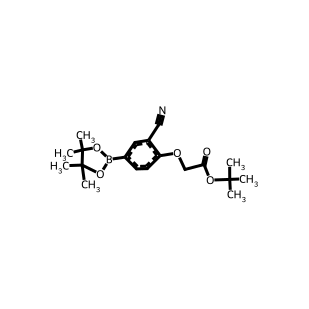 CC(C)(C)OC(=O)COc1ccc(B2OC(C)(C)C(C)(C)O2)cc1C#N